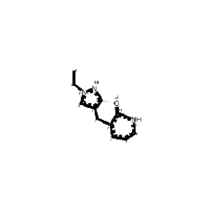 CCn1cc(Cc2ccc[nH]c2=O)cn1